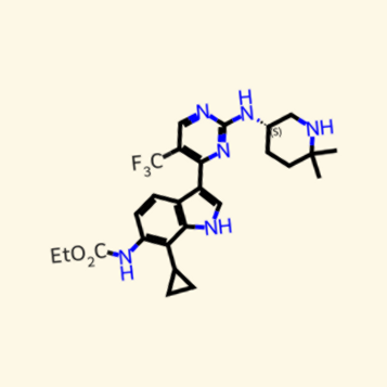 CCOC(=O)Nc1ccc2c(-c3nc(N[C@H]4CCC(C)(C)NC4)ncc3C(F)(F)F)c[nH]c2c1C1CC1